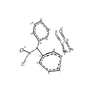 ClC(Cl)C(c1ccccc1)c1ccccc1.N=C=O.N=C=O